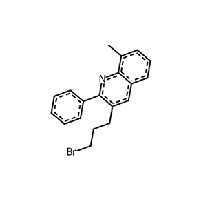 Cc1cccc2cc(CCCBr)c(-c3ccccc3)nc12